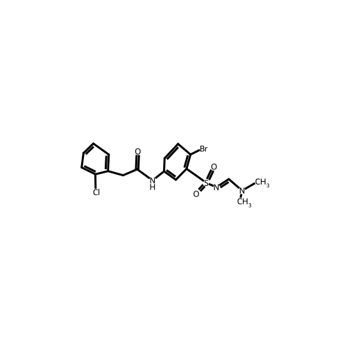 CN(C)C=NS(=O)(=O)c1cc(NC(=O)Cc2ccccc2Cl)ccc1Br